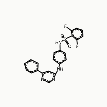 O=S(=O)(Nc1ccc(Nc2cc(-c3ccccc3)ncn2)cc1)c1c(F)cccc1F